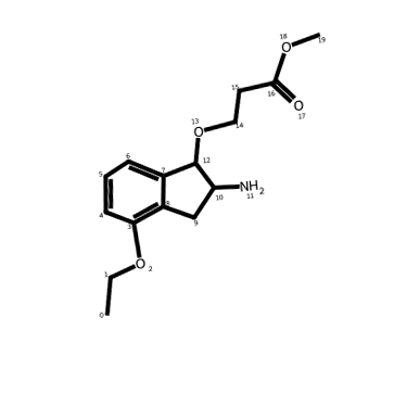 CCOc1cccc2c1CC(N)C2OCCC(=O)OC